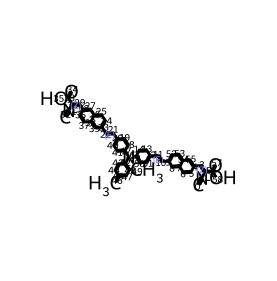 [C-]#[N+]/C(=C\c1ccc2cc(/C=C/c3ccc(N(c4ccc(/C=C/c5ccc6cc(/C=C(\[N+]#[C-])C(=O)O)ccc6c5)cc4)c4ccc(C)cc4C)cc3)ccc2c1)C(=O)O